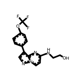 OCCNc1ccn2ncc(-c3ccc(OC(F)(F)F)cc3)c2n1